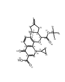 C=C1CNC(C(Oc2c(F)ccc3c(=O)c(C(=O)O)cn(C4CC4)c23)C(=O)OC(C)(C)C)C1